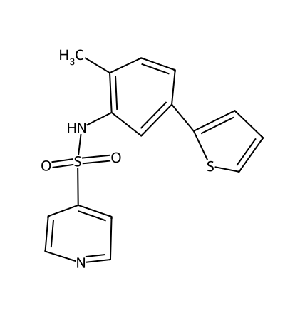 Cc1ccc(-c2cccs2)cc1NS(=O)(=O)c1ccncc1